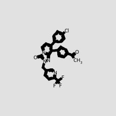 CC(=O)c1ccc(-c2c(-c3ccc(Cl)cc3)ccn3c(=O)n(Cc4ccc(C(F)(F)F)nc4)nc23)cc1